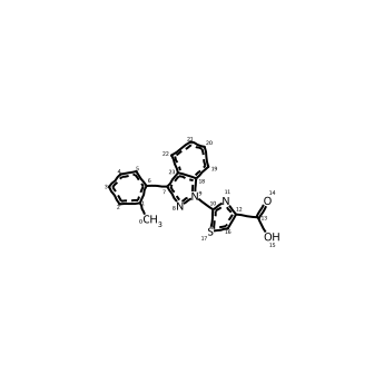 Cc1ccccc1-c1nn(-c2nc(C(=O)O)cs2)c2ccccc12